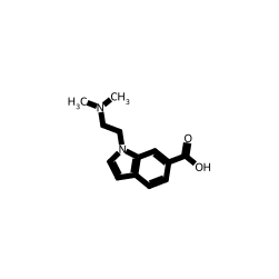 CN(C)CCn1ccc2ccc(C(=O)O)cc21